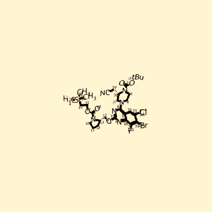 CC(C)(C)OC(=O)N1CCN(c2nc(OC[C@@H]3CCCN3C(=O)OCC[Si](C)(C)C)nc3c(F)c(Br)c(Cl)cc23)C[C@@H]1CC#N